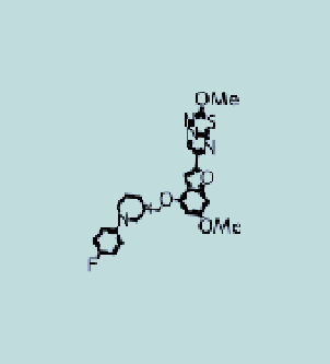 COc1cc(OC[C@@H]2CCCN(c3ccc(F)cc3)C2)c2cc(-c3cn4nc(OC)sc4n3)oc2c1